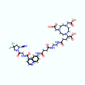 N#C[C@@H]1CC(F)(F)CN1C(=O)CNC(=O)c1ccnc2ccc(NC(=O)CCC(=O)NCCNC(=O)CCC(C(=O)O)N3CCN(CC(=O)O)CCN(CC(=O)O)CC3)cc12